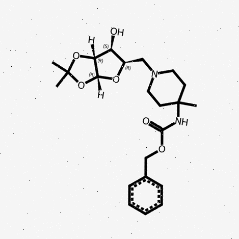 CC1(NC(=O)OCc2ccccc2)CCN(C[C@H]2O[C@@H]3OC(C)(C)O[C@@H]3[C@H]2O)CC1